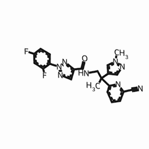 Cn1cc(C(C)(CNC(=O)c2cnn(-c3ccc(F)cc3F)n2)c2cccc(C#N)n2)cn1